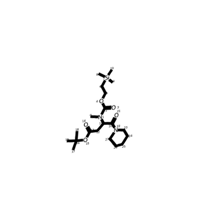 CN(C(=O)OCC[Si](C)(C)C)C(CC(=O)OC(C)(C)C)C(=O)N1CCCCC1